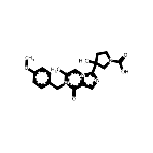 COc1ccc(Cn2c(C)cn3c(C4(C)CCN(C(=O)O)C4)ncc3c2=O)cc1